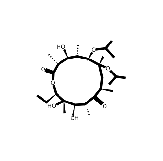 CC[C@H]1OC(=O)[C@H](C)[C@@H](O)[C@H](C)[C@@H](OC(C)C)[C@](C)(OC(C)C)C[C@@H](C)C(=O)[C@H](C)[C@@H](O)[C@]1(C)O